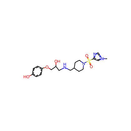 Cn1cnc(S(=O)(=O)N2CCC(CNCC(O)COc3ccc(O)cc3)CC2)c1